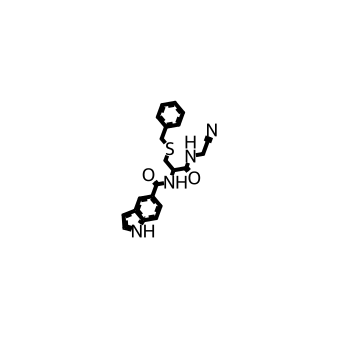 N#CCNC(=O)C(CSCc1ccccc1)NC(=O)c1ccc2[nH]ccc2c1